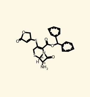 N[C@@H]1C(=O)N2C(C(=O)OC(c3ccccc3)c3ccccc3)=C(SC3=CC(=O)OC3)CS[C@H]12